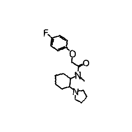 CN(C(=O)COc1ccc(F)cc1)C1CCCCC1N1CCCC1